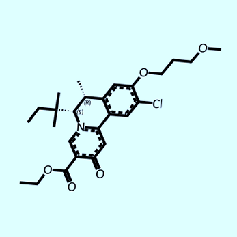 CCOC(=O)c1cn2c(cc1=O)-c1cc(Cl)c(OCCCOC)cc1[C@@H](C)[C@H]2C(C)(C)CC